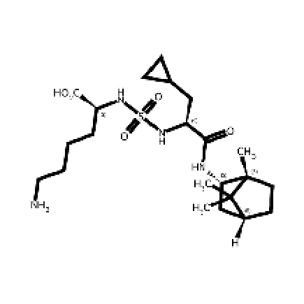 CC1(C)[C@@H]2CC[C@@]1(C)[C@@H](NC(=O)[C@H](CC1CC1)NS(=O)(=O)N[C@@H](CCCCN)C(=O)O)C2